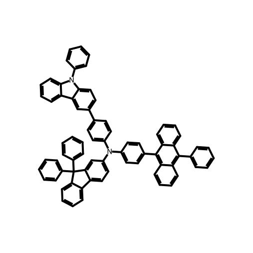 c1ccc(-c2c3ccccc3c(-c3ccc(N(c4ccc(-c5ccc6c(c5)c5ccccc5n6-c5ccccc5)cc4)c4ccc5c(c4)C(c4ccccc4)(c4ccccc4)c4ccccc4-5)cc3)c3ccccc23)cc1